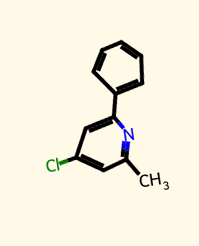 Cc1cc(Cl)cc(-c2ccccc2)n1